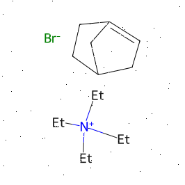 C1=C2CCC(C1)C2.CC[N+](CC)(CC)CC.[Br-]